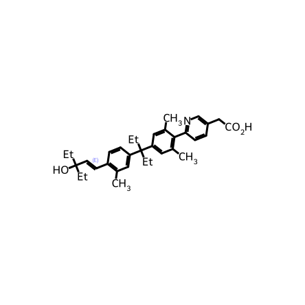 CCC(O)(/C=C/c1ccc(C(CC)(CC)c2cc(C)c(-c3ccc(CC(=O)O)cn3)c(C)c2)cc1C)CC